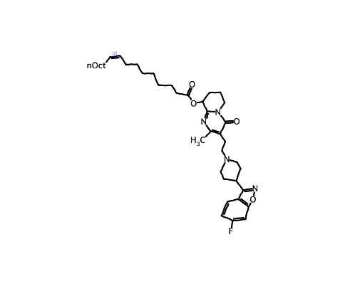 CCCCCCCC/C=C\CCCCCCCC(=O)OC1CCCn2c1nc(C)c(CCN1CCC(c3noc4cc(F)ccc34)CC1)c2=O